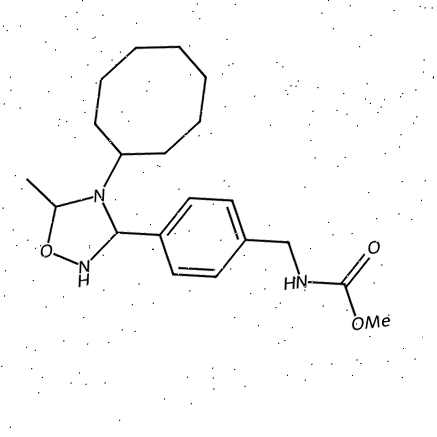 COC(=O)NCc1ccc(C2NOC(C)N2C2CCCCCCC2)cc1